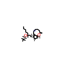 C=C1CC/C=C\C[C@@H]2[C@@H](CCC(C)(CCCCC)O[Si](C)(C)C(C)(C)C)[C@H](C)C[C@@H]2O1